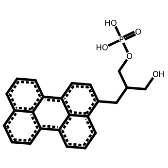 O=P(O)(O)OCC(CO)Cc1ccc2c3cccc4cccc(c5cccc1c52)c43